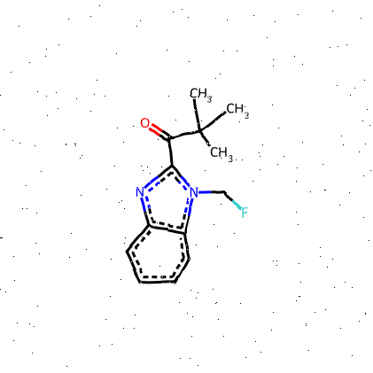 CC(C)(C)C(=O)c1nc2ccccc2n1CF